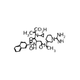 C[C@@H](C(=O)O)N(C(=O)C(CC(=O)N(C)[C@H]1CCCN(C(=N)N)C1)NS(=O)(=O)c1ccc2ccccc2c1)C1CC1